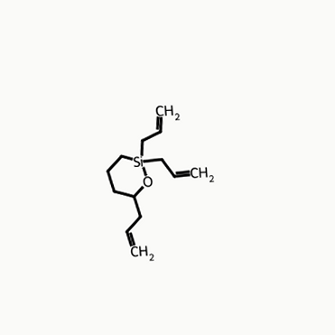 C=CCC1CCC[Si](CC=C)(CC=C)O1